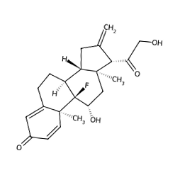 C=C1C[C@H]2[C@@H]3CCC4=CC(=O)C=C[C@]4(C)[C@@]3(F)[C@@H](O)C[C@]2(C)[C@H]1C(=O)CO